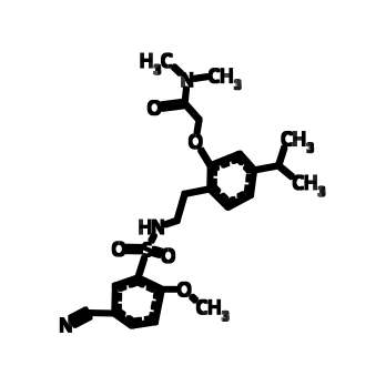 COc1ccc(C#N)cc1S(=O)(=O)NCCc1ccc(C(C)C)cc1OCC(=O)N(C)C